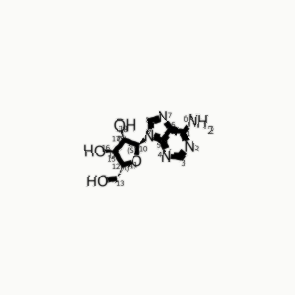 Nc1ncnc2c1ncn2[C@H]1O[C@H](CO)[C@@H](O)[C@@H]1O